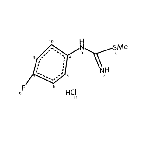 CSC(=N)Nc1ccc(F)cc1.Cl